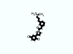 CN(C)CC[CH]c1cccc(CC(=O)N2CCC(c3cc(Cl)ccc3Cl)=N2)c1